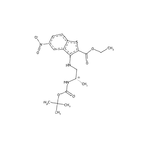 CCOC(=O)c1sc2ccc([N+](=O)[O-])cc2c1NC[C@H](C)NC(=O)OC(C)(C)C